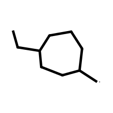 [CH2]C1CCCC(CC)CC1